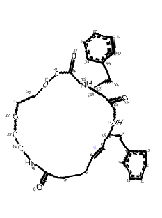 O=C1CC/C=C/[C@H](Cc2ccccc2)NC(=O)[C@H](Cc2ccccc2)NC(=O)COCCOCCN1